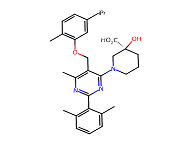 Cc1ccc(C(C)C)cc1OCc1c(C)nc(-c2c(C)cccc2C)nc1N1CCC[C@@](O)(C(=O)O)C1